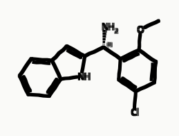 COc1ccc(Cl)cc1[C@@H](N)c1cc2ccccc2[nH]1